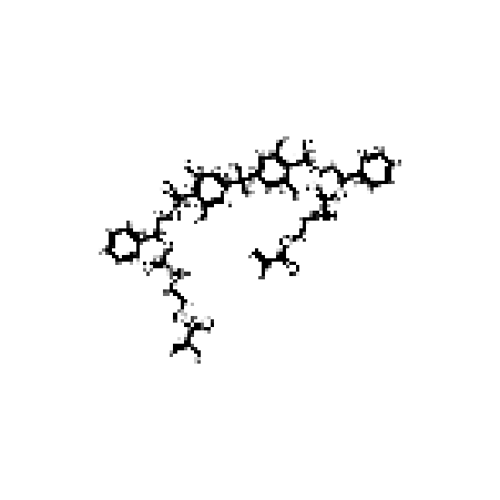 C=C(C)C(=O)OCCNC(=O)OC(COC(=O)c1c(C)cc(C(C)(C)c2cc(C)c(C(=O)OCC(OC(=O)NCCOC(=O)C(=C)C)c3ccccc3)c(C)c2)cc1C)c1ccccc1